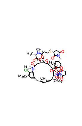 COc1cc2cc(c1Cl)N(C)C(=O)C[C@H](OC(=O)[C@H](C)N(C)C(=O)CCS[C@@H]1CC(=O)N(C[C@H]3CC[C@H](C(=O)ON4C(=O)CCC4=O)CC3)C1=O)[C@]1(C)O[C@H]1[C@H](C)[C@@H]1C[C@@](O)(NC(=O)O1)[C@H](OC)/C=C/C=C(\C)C2